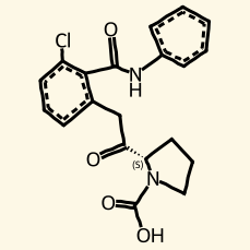 O=C(Nc1ccccc1)c1c(Cl)cccc1CC(=O)[C@@H]1CCCN1C(=O)O